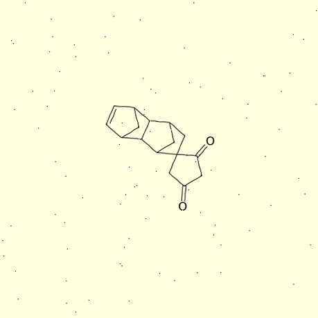 O=C1CC(=O)C2(C1)CC1CC2C2C3C=CC(C3)C12